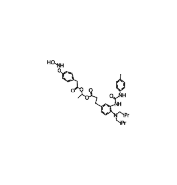 Cc1ccc(NC(=O)Nc2cc(CCC(=O)OC(C)OC(=O)Cc3ccc(ONO)cc3)ccc2N(CC(C)C)CC(C)C)cc1